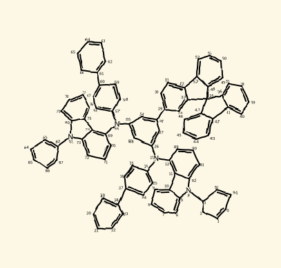 C1=CCC(n2c3ccccc3c3c(N(c4ccc(-c5ccccc5)cc4)c4cc(-c5ccc6c(c5)C5(c7ccccc7-c7ccccc75)c5ccccc5-6)cc(N(c5ccc(-c6ccccc6)cc5)c5cccc6c5c5ccccc5n6-c5ccccc5)c4)cccc32)C=C1